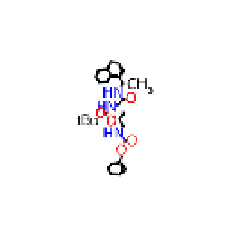 C[C@H](NC(=O)[C@H](CCCNC(=O)OCc1ccccc1)NC(=O)OC(C)(C)C)c1cccc2ccccc12